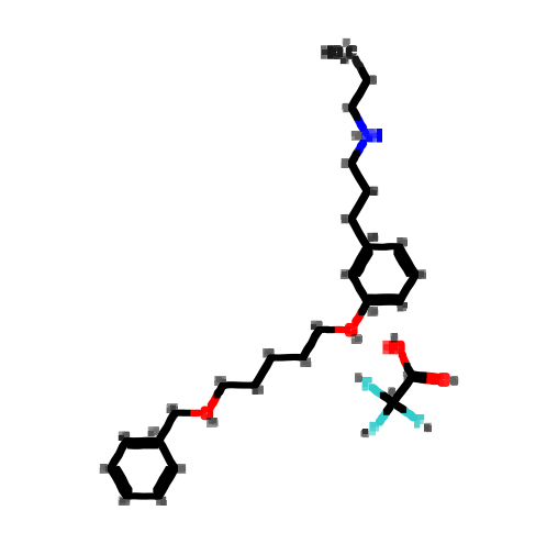 O=C(O)C(F)(F)F.O=C(O)CCNCCCc1cccc(OCCCCCOCc2ccccc2)c1